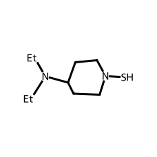 CCN(CC)C1CCN(S)CC1